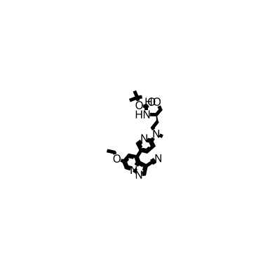 CCOc1cc(-c2ccc(N(C)CC[C@H](CO)NC(=O)OC(C)(C)C)nc2)c2c(C#N)cnn2c1